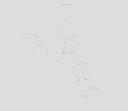 CNC(=O)c1ccc(-c2nc3cc(C4CC4)ccn3c2CC2CN(C(=O)O)CCO2)c(F)c1